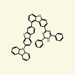 C1=CC2C3C=CC=CC3N(c3ccc4c(c3)sc3cc(-c5cccc6oc7ccc(C8=NC(c9ccccc9)NC(c9ccccc9)=N8)cc7c56)ccc34)C2C=C1